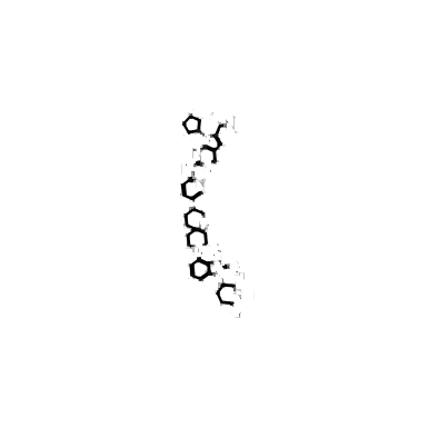 CN(C)C(=O)c1cc2cnc(Nc3ccc([C@H]4CCC5(CCN(c6cccc7c6n(C)c(=O)n7[C@H]6CCC(=O)NC6=O)CC5)OC4)cn3)nc2n1C1CCCC1